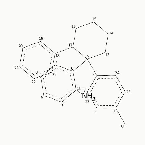 Cc1ccc(C2(c3ccccc3N)CCCCC2c2ccccc2)cc1